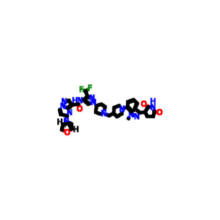 Cn1nc(C2CCC(=O)NC2=O)c2cccc(N3CCC(CN4CCC(n5cc(NC(=O)c6cnn7ccc(N8C[C@H]9C[C@@H]8CO9)nc67)c(C(F)F)n5)CC4)CC3)c21